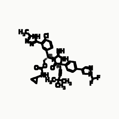 Cc1nnc(-c2cc([C@@H](COC(=O)NC3CC3)N3C(=N)N[C@](C#CC(C)(C)C)(c4ccc(-c5cnn(C(F)F)c5)cc4)C3=O)ccc2Cl)[nH]1